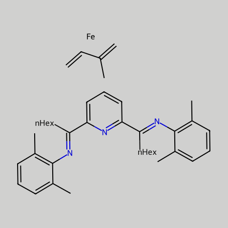 C=CC(=C)C.CCCCCCC(=Nc1c(C)cccc1C)c1cccc(C(CCCCCC)=Nc2c(C)cccc2C)n1.[Fe]